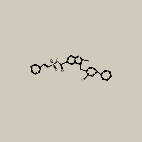 Cc1oc2ccc(C(=O)NS(=O)(=O)/C=C/c3ccccc3)cc2c1Cc1ccc(-c2ccccc2)cc1Cl